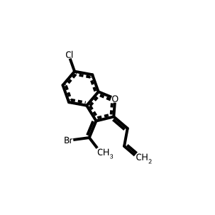 C=C/C=c1/oc2cc(Cl)ccc2/c1=C(/C)Br